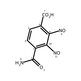 NC(=O)c1ccc(C(=O)O)c(N=O)c1N=O